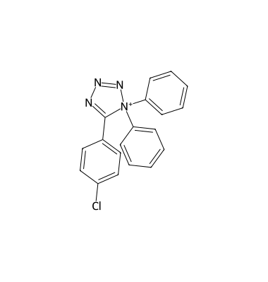 Clc1ccc(C2=NN=N[N+]2(c2ccccc2)c2ccccc2)cc1